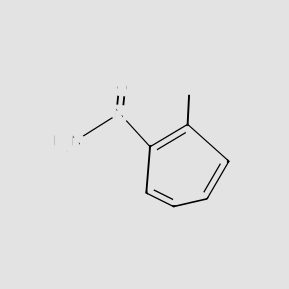 Cc1[c]cccc1[N+](N)=O